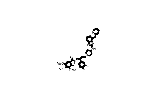 COc1cc(C(=O)NCC(CCN2CCC(Nc3nc4c(Cc5ccccn5)cccc4[nH]3)CC2)c2ccc(Cl)c(Cl)c2)c(C)c(OC)c1OC